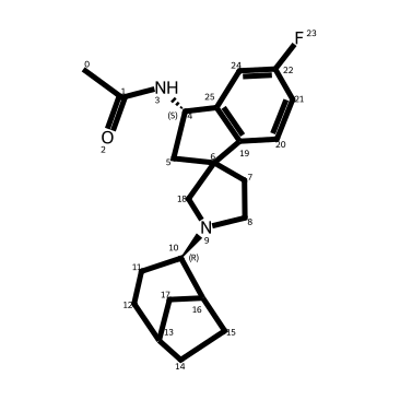 CC(=O)N[C@H]1CC2(CCN([C@@H]3CCC4CCC3C4)C2)c2ccc(F)cc21